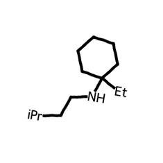 CCC1(NCCC(C)C)CCCCC1